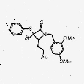 CCC1(Sc2ccccc2)C(=O)N(Cc2ccc(OC)cc2OC)C1CCC(C)=O